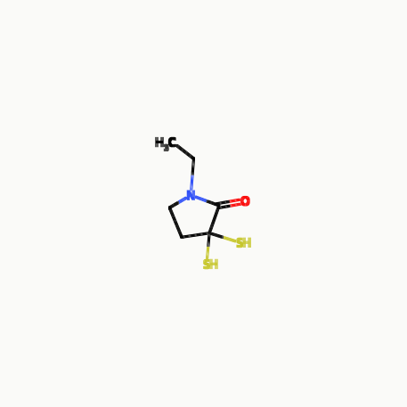 CCN1CCC(S)(S)C1=O